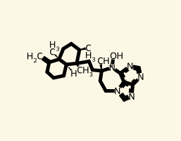 C=C1CCC[C@@H]2[C@@](C)(CC[C@@]3(C)CCn4cnc5ncnc(c54)N3O)[C@H](C)CC[C@]12C